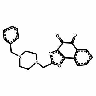 O=C1C(=O)c2nc(CN3CCN(Cc4ccccc4)CC3)oc2-c2ccccc21